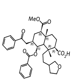 COC(=O)[C@@H]1C[C@H](CC(=O)c2ccccc2)[C@H](OC(=O)c2ccccc2)C2[C@@](C)(CCC3CCOC3)[C@H](C(=O)O)CC[C@]21C